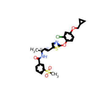 C[C@@H](/C=C/c1cnc(Oc2ccc(OCC3CC3)cc2Cl)s1)NC(=O)c1cccc(S(C)(=O)=O)c1